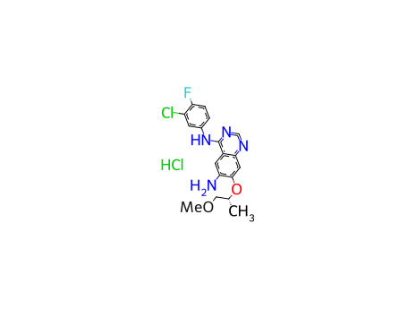 COC[C@@H](C)Oc1cc2ncnc(Nc3ccc(F)c(Cl)c3)c2cc1N.Cl